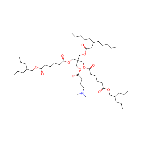 CCCCCC(CCCCC)CC(=O)OCC(COC(=O)CCCCC(=O)OCC(CCC)CCC)(COC(=O)CCCCC(=O)OCC(CCC)CCC)COC(=O)CCCN(C)C